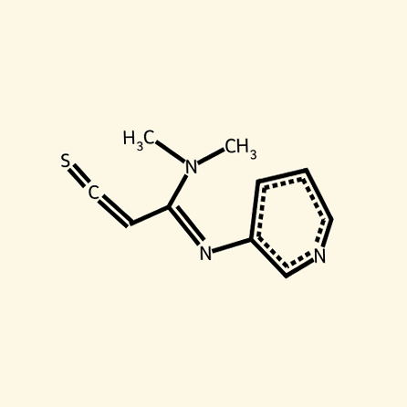 CN(C)C(C=C=S)=Nc1cccnc1